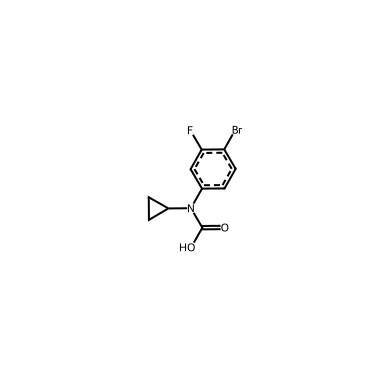 O=C(O)N(c1ccc(Br)c(F)c1)C1CC1